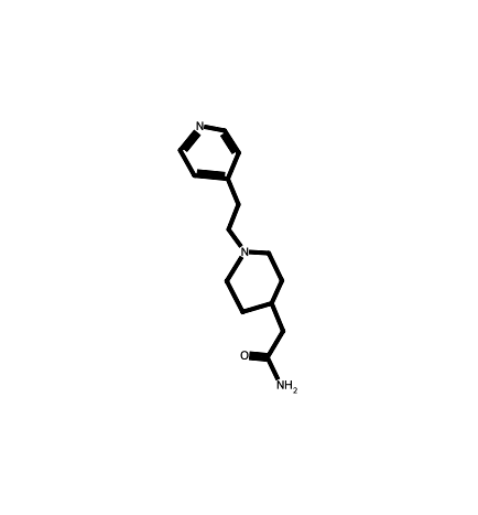 NC(=O)CC1CCN(CCc2ccncc2)CC1